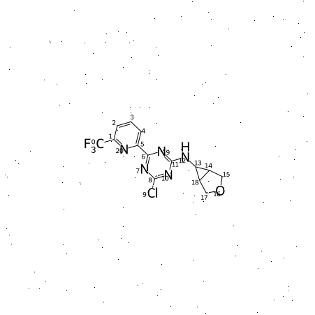 FC(F)(F)c1cccc(-c2nc(Cl)nc(NC3C4COCC43)n2)n1